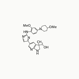 COc1cc(N2CCC(OC)CC2)ccc1Nc1nccc(-c2cnc3c(c2)C(C)(CO)CN3)n1